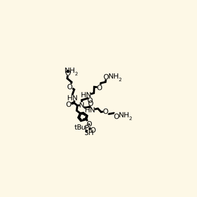 CC(C)(C)P(=O)(S)Oc1ccc(CC(C(=O)NCCOCCON)N(CC(=O)NCCOCCON)CC(=O)NCCOCCON)cc1